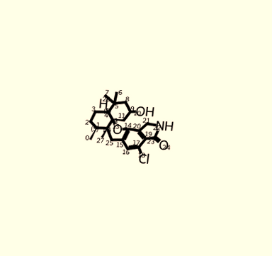 C[C@H]1CC[C@H]2C(C)(C)CC(O)C[C@]23Oc2c(cc(Cl)c4c2CNC4=O)C[C@]13C